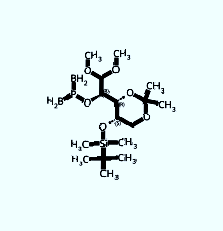 BP(B)O[C@@H](C(OC)OC)[C@@H]1OC(C)(C)OC[C@@H]1O[Si](C)(C)C(C)(C)C